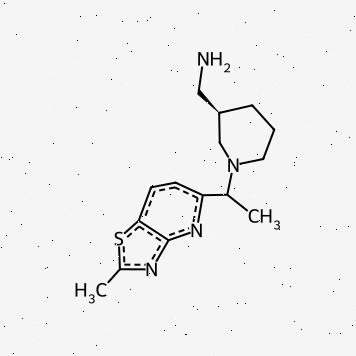 Cc1nc2nc(C(C)N3CCC[C@H](CN)C3)ccc2s1